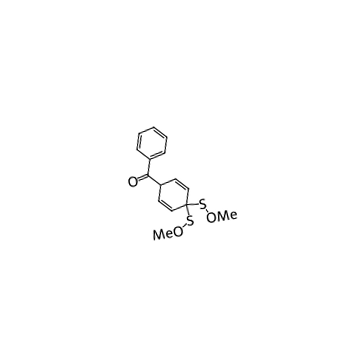 COSC1(SOC)C=CC(C(=O)c2ccccc2)C=C1